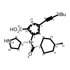 CC(C)(C)C#Cc1cc(N(C(=O)[C@H]2CC[C@H](C)CC2)[C@@H]2CCNC2)c(C(=O)O)s1